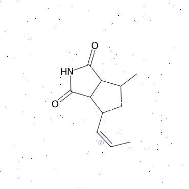 C/C=C\C1CC(C)C2C(=O)NC(=O)C12